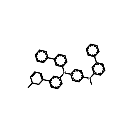 CC1C=CC=C(c2cccc(N(c3ccc(N(C)c4cccc(-c5ccccc5)c4)cc3)c3cccc(-c4ccccc4)c3)c2)C1